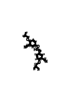 CC(C)COc1ccc(OBOc2ccc(OCC(C)C)c(C#N)c2)cc1C#N